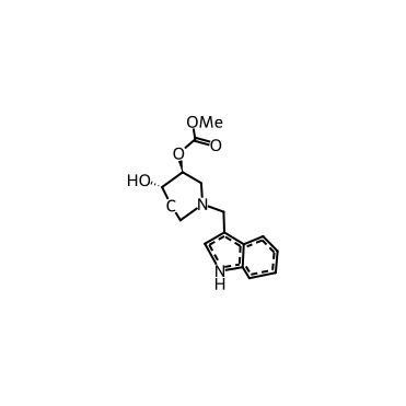 COC(=O)O[C@H]1CN(Cc2c[nH]c3ccccc23)CC[C@@H]1O